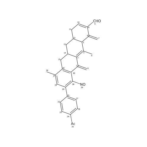 C=C1C2=C(C)C3C(=C)C(C=O)=CCC3CC2Cc2c(C)cc(-c3ccc(C(C)=O)cc3)c(N=O)c21